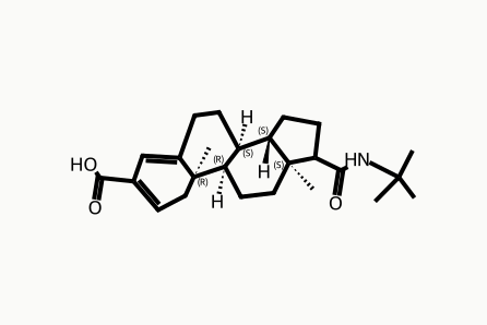 CC(C)(C)NC(=O)C1CC[C@H]2[C@@H]3CCC4=CC(C(=O)O)=CC[C@]4(C)[C@@H]3CC[C@]12C